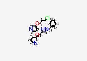 ClCCCOc1cccnc1.c1ccc(CNCCCOc2cccnc2)cc1